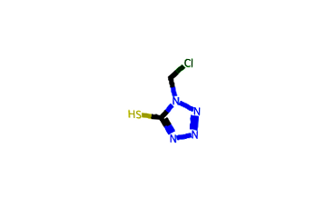 Sc1nnnn1CCl